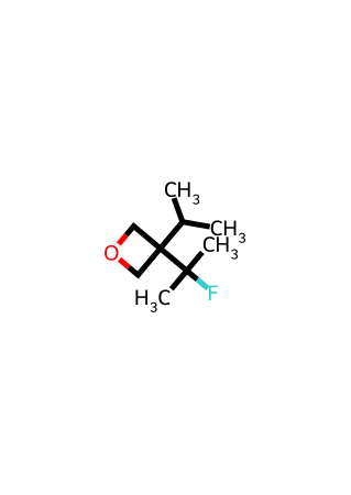 CC(C)C1(C(C)(C)F)COC1